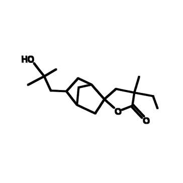 CCC1(C)CC2(CC3CC2CC3CC(C)(C)O)OC1=O